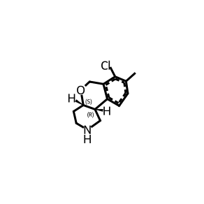 Cc1ccc2c(c1Cl)CO[C@H]1CCNC[C@@H]21